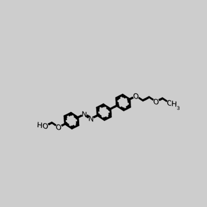 CCOCCOc1ccc(-c2ccc(N=Nc3ccc(OCO)cc3)cc2)cc1